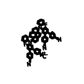 [C-]#[N+]c1ccc(-c2cc(N(c3ccccc3)c3ccc4ccc5c(N(c6ccccc6)c6cc(-c7ccc(C#N)cc7)c(-c7ccc(C#N)cc7)cc6F)ccc6ccc3c4c65)c(F)cc2-c2ccc(C#N)cc2)cc1